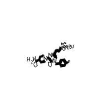 CC(C)(C)[Si](C)(C)OC/C=C/c1cn(Cc2ccc(F)cc2)c(=O)c(N2CCC(C(N)=O)CC2)n1